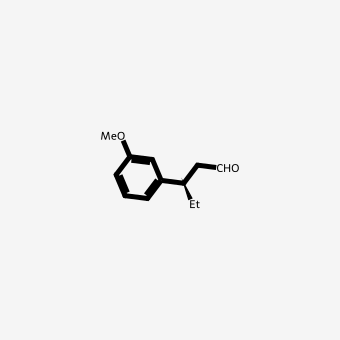 CC[C@H](CC=O)c1cccc(OC)c1